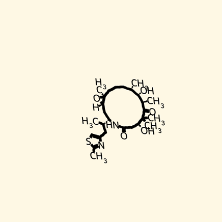 Cc1nc(CC(C)[C@@H]2C[C@@H]3O[C@]3(C)CCC[C@H](C)[C@H](O)[C@@H](C)C(=O)C(C)(C)[C@@H](O)CC(=O)N2)cs1